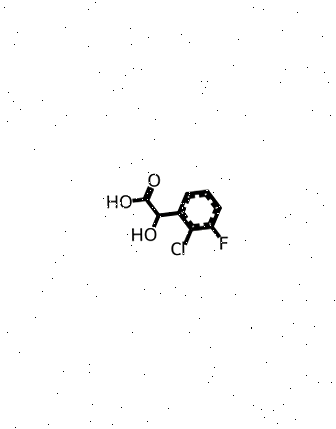 O=C(O)C(O)c1cccc(F)c1Cl